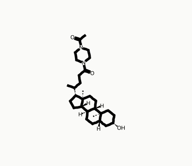 CC(=O)N1CCN(C(=O)CCC(C)[C@H]2CC[C@H]3[C@@H]4CC[C@H]5C[C@@H](O)CC[C@]5(C)[C@H]4CC[C@]23C)CC1